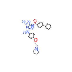 Nc1nc(Nc2ccc(OCCN3CCCC3)cc2)nn1C(=O)c1ccc(-c2ccccc2)cc1